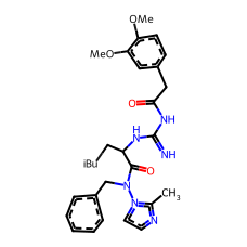 CCC(C)CC(NC(=N)NC(=O)Cc1ccc(OC)c(OC)c1)C(=O)N(Cc1ccccc1)n1ccnc1C